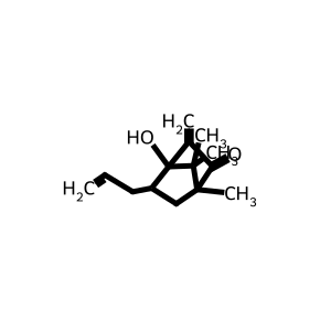 C=CCC1CC2(C)C(=O)C(=C)C1(O)C2(C)C